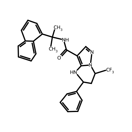 CC(C)(NC(=O)c1cnn2c1NC(c1ccccc1)CC2C(F)(F)F)c1cccc2ccccc12